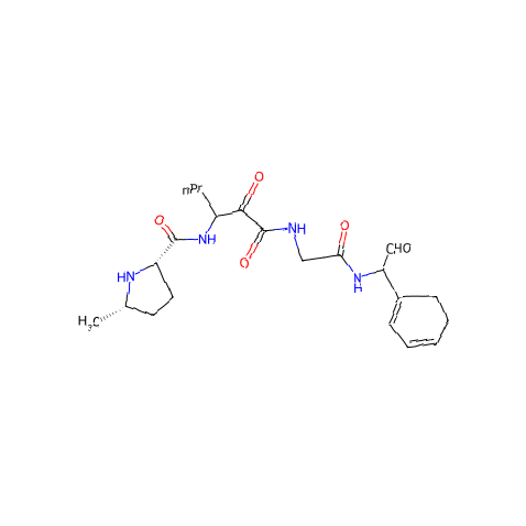 CCCC(NC(=O)[C@@H]1CC[C@H](C)N1)C(=O)C(=O)NCC(=O)NC(C=O)C1=CC=CCC1